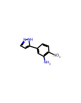 Nc1cc(-c2ccn[nH]2)ccc1[N+](=O)[O-]